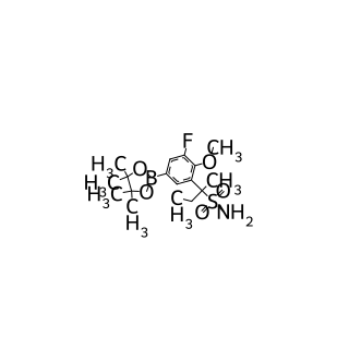 CCC(C)(c1cc(B2OC(C)(C)C(C)(C)O2)cc(F)c1OC)S(N)(=O)=O